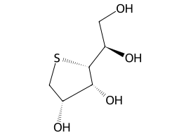 OC[C@@H](O)[C@H]1SC[C@@H](O)[C@H]1O